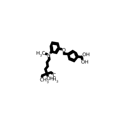 CCC(O)(CC)CCCCN(C)c1cccc(OCc2ccc(C(O)O)cc2)c1